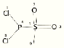 CS(=O)(=O)P(Cl)Cl